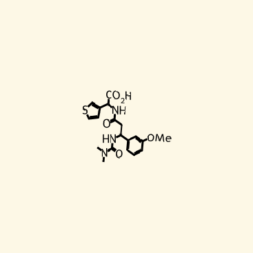 COc1cccc(C(CC(=O)NC(C(=O)O)c2ccsc2)NC(=O)N(C)C)c1